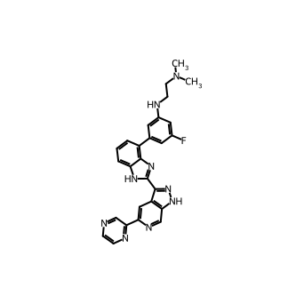 CN(C)CCNc1cc(F)cc(-c2cccc3[nH]c(-c4n[nH]c5cnc(-c6cnccn6)cc45)nc23)c1